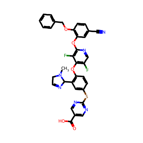 CN1CC=NC1c1cc(Sc2ncc(C(=O)O)cn2)ccc1Oc1c(F)cnc(Oc2cc(C#N)ccc2OCc2ccccc2)c1F